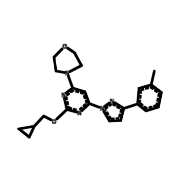 Cc1cccc(-c2ccn(-c3cc(N4CCOCC4)nc(OCC4CC4)n3)n2)c1